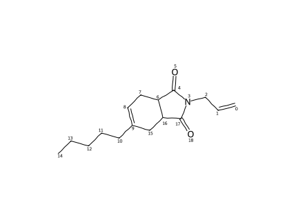 C=CCN1C(=O)C2CC=C(CCCCC)CC2C1=O